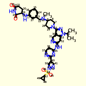 CC(C)n1nc(N2CCC(N(C)Cc3cccc(NC4CCC(=O)NC4=O)c3)CC2)c2cnc(Nc3ccnc(-c4cnn(S(=O)(=O)C5CC5)c4)n3)cc21